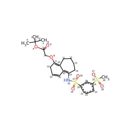 CC(C)(C)OC(=O)COC1=C2CCCCC(NS(=O)(=O)c3cccc(S(C)(=O)=O)c3)=C2C=CC1